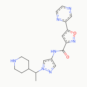 CC(C1CCNCC1)n1cc(NC(=O)c2cc(-c3cnccn3)on2)cn1